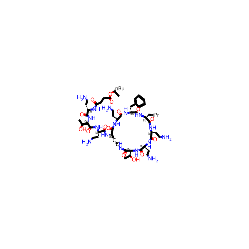 CCCCC(C)OC(=O)CCC(=O)N[C@@H](CCN)C(=O)N[C@H](C(=O)N[C@@H](CCN)C(=O)N[C@H]1CCNC(=O)[C@H](C(C)O)NC(=O)[C@H](CCN)NC(=O)[C@H](CCN)NC(=O)[C@H](CC(C)C)NC(=O)[C@@H](Cc2ccccc2)NC(=O)[C@H](CCN)NC1=O)C(C)O